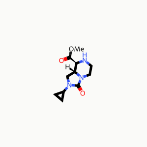 COC(=O)[C@H]1NCCN2C(=O)N(C3CC3)C[C@H]12